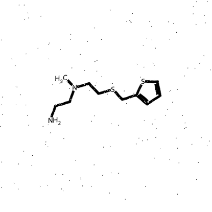 CN(CCN)CCSCc1cccs1